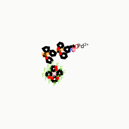 CC#N.CC(=O)[O-].CC(C)(C)[PH](C1CCCCC1)(C1CCCCC1)C1CCCCC1.CC(C)(C)[PH](C1CCCCC1)(C1CCCCC1)C1CCCCC1.Fc1c(F)c(F)c([B-](c2c(F)c(F)c(F)c(F)c2F)(c2c(F)c(F)c(F)c(F)c2F)c2c(F)c(F)c(F)c(F)c2F)c(F)c1F.[Pd+2]